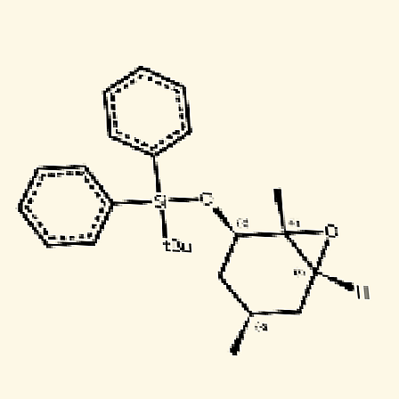 C[C@@H]1C[C@H]2O[C@@]2(C)[C@H](O[Si](c2ccccc2)(c2ccccc2)C(C)(C)C)C1